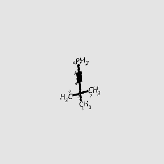 CC(C)(C)C#CP